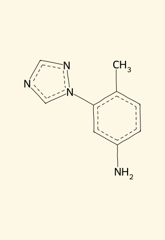 Cc1ccc(N)cc1-n1cncn1